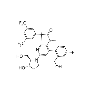 CN(C(=O)C(C)(C)c1cc(C(F)(F)F)cc(C(F)(F)F)c1)c1cnc(N2CC[C@H](O)[C@H]2CO)cc1-c1ccc(F)cc1CO